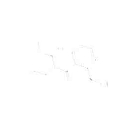 CCCC(C(=O)OC)C(=O)c1ccccc1C(=O)O